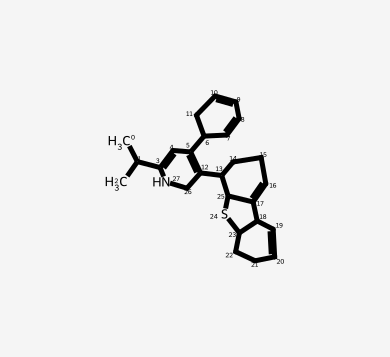 CC(C)C1=CC(C2C=CC=CC2)=C(C2CCC=C3C4C=CCCC4SC32)CN1